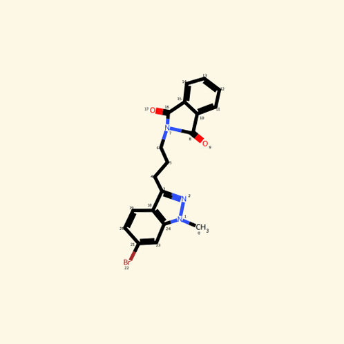 Cn1nc(CCCN2C(=O)c3ccccc3C2=O)c2ccc(Br)cc21